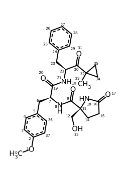 COc1ccc(C[C@H](NC(=O)[C@@]2(CO)CCC(=O)N2)C(=O)N[C@@H](Cc2ccccc2)C(=O)C2(C)CC2)cc1